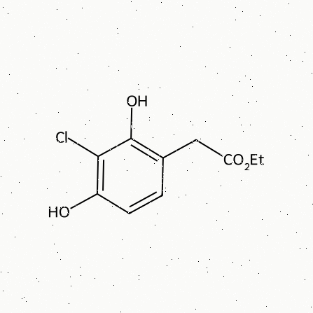 CCOC(=O)Cc1ccc(O)c(Cl)c1O